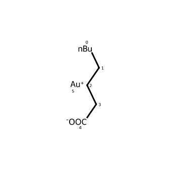 CCCCCCCC(=O)[O-].[Au+]